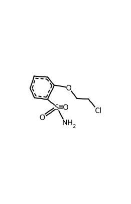 NS(=O)(=O)c1ccccc1OCCCl